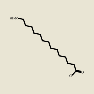 CCCCCCCCCCCCCCCCCCCCCCCC(=O)Cl